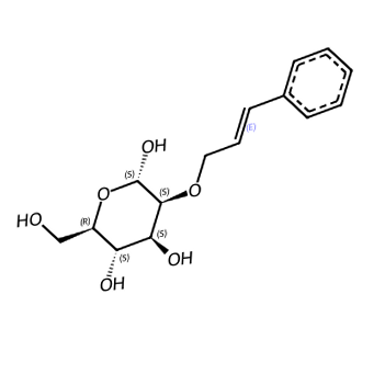 OC[C@H]1O[C@H](O)[C@@H](OC/C=C/c2ccccc2)[C@@H](O)[C@@H]1O